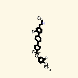 CC/C=C\Cc1ccc(C2CCC(C3CCC(C(F)(F)Oc4ccc(OC(F)(F)F)c(F)c4)CC3)CC2)c(F)c1